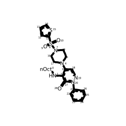 CCCCCCCCNc1c(N2CCN(S(=O)(=O)c3cccs3)CC2)cnn(-c2ccccc2)c1=O